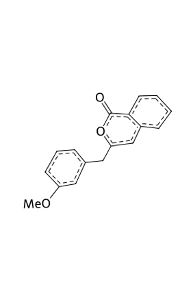 COc1cccc(Cc2cc3ccccc3c(=O)o2)c1